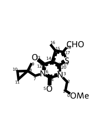 COCCn1c(=O)n(CC2(C)CC2)c(=O)c2c(C)c(C=O)sc21